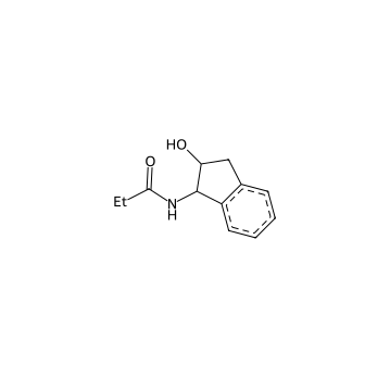 CCC(=O)NC1c2ccccc2CC1O